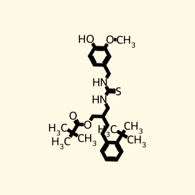 COc1cc(CNC(=S)NCC(CCc2ccccc2C(C)(C)C)COC(=O)C(C)(C)C)ccc1O